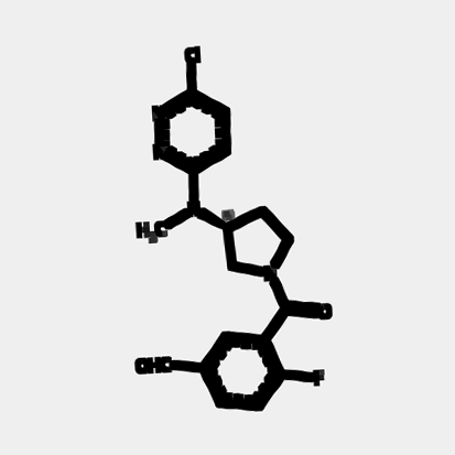 CN(c1ccc(Cl)nn1)[C@H]1CCN(C(=O)c2cc(C=O)ccc2F)C1